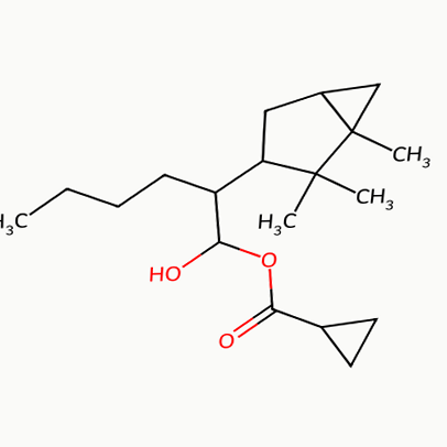 CCCCC(C(O)OC(=O)C1CC1)C1CC2CC2(C)C1(C)C